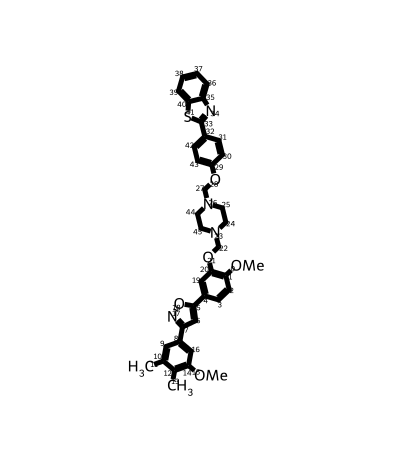 COc1ccc(-c2cc(-c3cc(C)c(C)c(OC)c3)no2)cc1OCN1CCN(COc2ccc(-c3nc4ccccc4s3)cc2)CC1